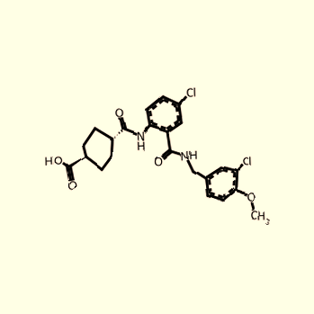 COc1ccc(CNC(=O)c2cc(Cl)ccc2NC(=O)[C@H]2CC[C@H](C(=O)O)CC2)cc1Cl